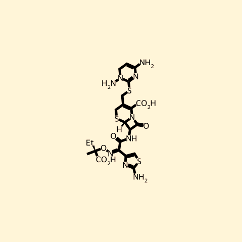 CC[C@@](C)(O/N=C(\C(=O)NC1C(=O)N2C(C(=O)O)=C(CSC3=NC(N)=CCN3N)CS[C@@H]12)c1csc(N)n1)C(=O)O